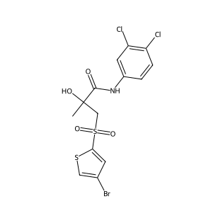 CC(O)(CS(=O)(=O)c1cc(Br)cs1)C(=O)Nc1ccc(Cl)c(Cl)c1